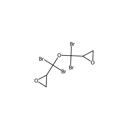 BrC(Br)(OC(Br)(Br)C1CO1)C1CO1